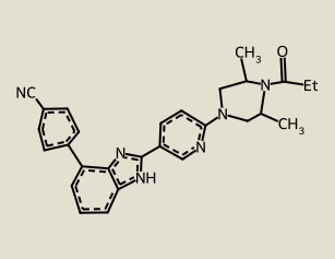 CCC(=O)N1C(C)CN(c2ccc(-c3nc4c(-c5ccc(C#N)cc5)cccc4[nH]3)cn2)CC1C